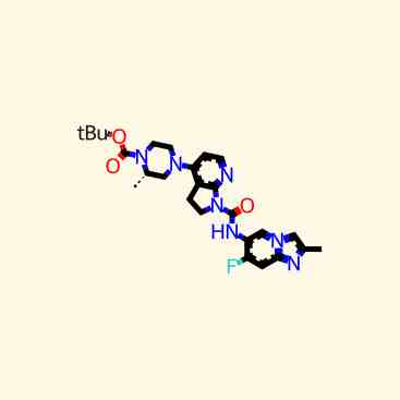 Cc1cn2cc(NC(=O)N3CCc4c(N5CCN(C(=O)OC(C)(C)C)[C@@H](C)C5)ccnc43)c(F)cc2n1